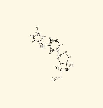 CCC1(NC(=O)CC(F)(F)F)CCN(c2ccnc(Nc3cnn(C)c3)n2)CC1